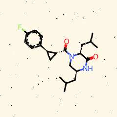 CC(C)C[C@H]1CN(C(=O)[C@@H]2C[C@H]2c2ccc(F)cc2)[C@@H](CC(C)C)C(=O)N1